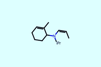 C/C=C\N(C(C)C)C1CCCC=C1C